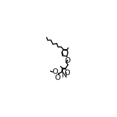 CCCCCCCC1=C(C)CC(OCCc2onc(C(=O)OCC)c2C)C=C1